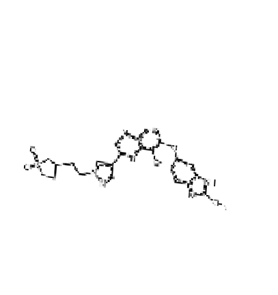 Cc1nc2ccc(Oc3ccc4ncc(-c5cnn(CCC6CCS(=O)(=O)C6)c5)nc4c3Br)cc2[nH]1